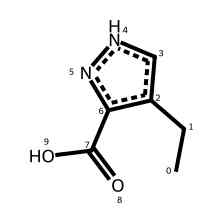 CCc1c[nH]nc1C(=O)O